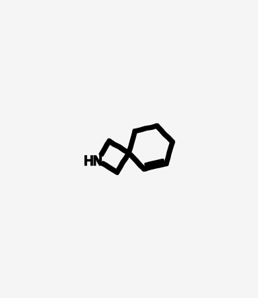 C1=CC2(CCC1)CNC2